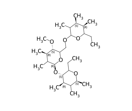 CCC1O[C@@H](C)C(C)[C@@H](C)[C@@H]1O[C@@H]1OC(COC2OC(CC)[C@H](C)[C@H](C)C2C)[C@@H](OC)[C@H](C)C1C